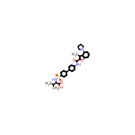 Cc1c(C(=O)Nc2ccc(-c3ccc(S(=O)(=O)NC(C(=O)O)C(C)C)cc3)cc2)oc2cccc(N3CCCC3)c12